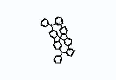 Cc1ccc2c(c1)C1(c3cc(C)ccc3-2)c2cc(N(c3ccccc3)c3ccccc3)ccc2-c2ccc(N(c3ccccc3)c3ccccc3)cc21